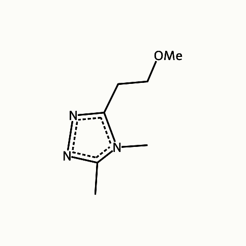 COCCc1nnc(C)n1C